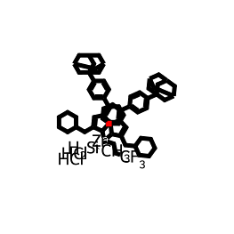 Cl.Cl.[CH3][Zr](=[SiH2])([CH2]CC(F)(F)F)([CH]1C(CC2CCCCC2)=Cc2c(-c3ccc(C45CC6CC(CC(C6)C4)C5)cc3)cccc21)[CH]1C(CC2CCCCC2)=Cc2c(-c3ccc(C45CC6CC(CC(C6)C4)C5)cc3)cccc21